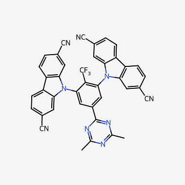 Cc1nc(C)nc(-c2cc(-n3c4cc(C#N)ccc4c4ccc(C#N)cc43)c(C(F)(F)F)c(-n3c4cc(C#N)ccc4c4ccc(C#N)cc43)c2)n1